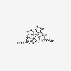 COc1ccc(C(c2ccccc2)(c2ccccc2)n2cnc(C[C@H](N)C(=O)O)c2)cc1